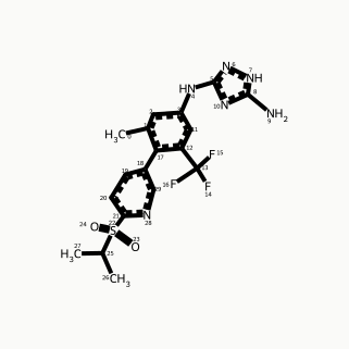 Cc1cc(Nc2n[nH]c(N)n2)cc(C(F)(F)F)c1-c1ccc(S(=O)(=O)C(C)C)nc1